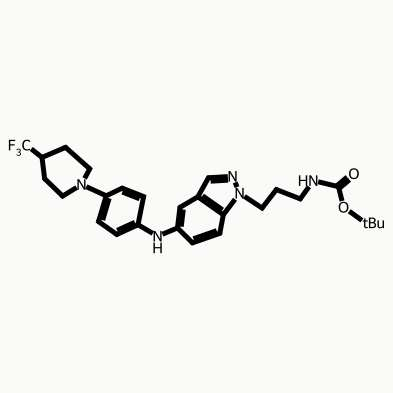 CC(C)(C)OC(=O)NCCCn1ncc2cc(Nc3ccc(N4CCC(C(F)(F)F)CC4)cc3)ccc21